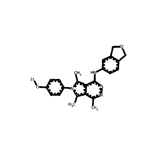 CCOc1ccc(-n2c(C)c3c(C)nnc(Nc4ccc5c(c4)COC5)c3c2C)cc1